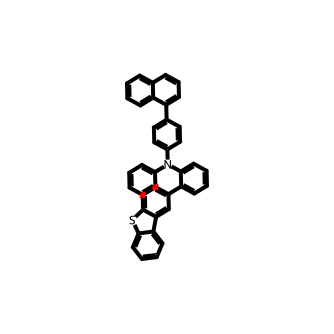 c1ccc(N(c2ccc(-c3cccc4ccccc34)cc2)c2ccccc2-c2ccc3sc4ccccc4c3c2)cc1